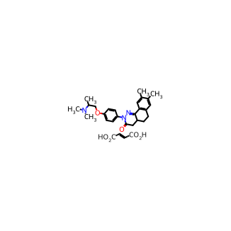 Cc1cc2c(cc1C)C1=NN(c3ccc(OCC(C)N(C)C)cc3)C(=O)CC1CC2.O=C(O)C=CC(=O)O